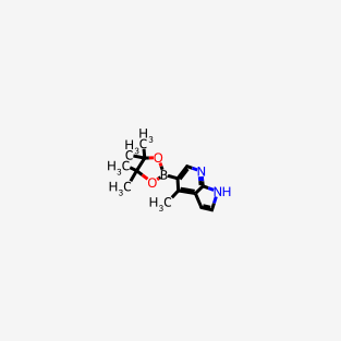 Cc1c(B2OC(C)(C)C(C)(C)O2)cnc2[nH]ccc12